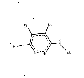 CCNc1bnc(CC)c(CC)c1CC